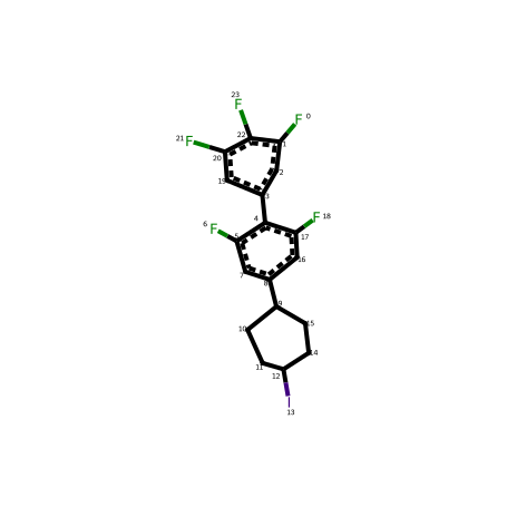 Fc1cc(-c2c(F)cc(C3CCC(I)CC3)cc2F)cc(F)c1F